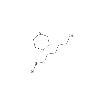 C1COCCO1.CCCCCS[S][Zn]